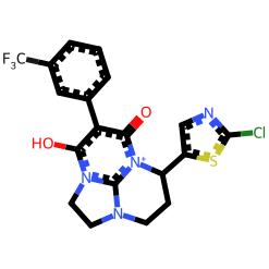 O=c1c(-c2cccc(C(F)(F)F)c2)c(O)n2c3[n+]1C(c1cnc(Cl)s1)CCN3CC2